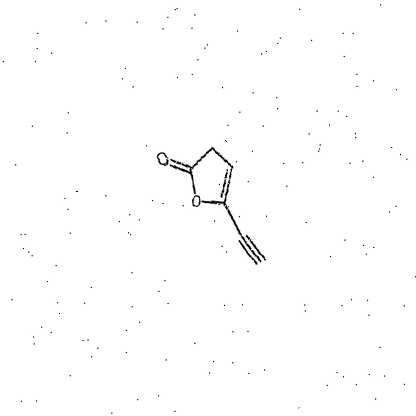 C#CC1=CCC(=O)O1